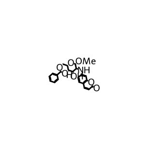 CO[C@@H]1OC2COC(c3ccccc3)O[C@@H]2C(O)C1Nc1ccc2ccc(=O)oc2c1